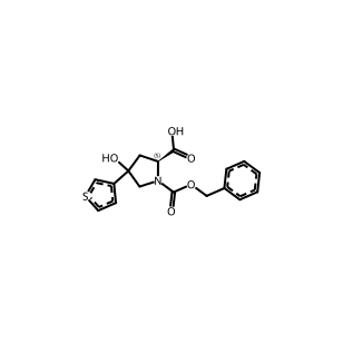 O=C(O)[C@@H]1CC(O)(c2ccsc2)CN1C(=O)OCc1ccccc1